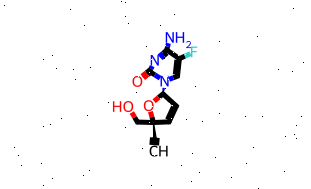 C#C[C@]1(CO)C=C[C@@H](n2cc(F)c(N)nc2=O)O1